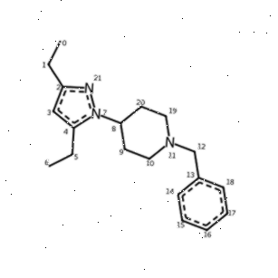 CCc1cc(CC)n(C2CCN(Cc3ccccc3)CC2)n1